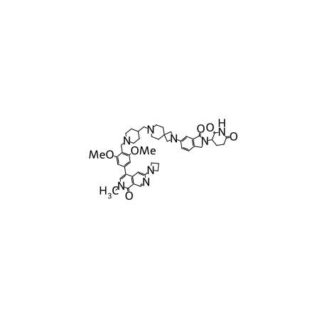 COc1cc(-c2cn(C)c(=O)c3cnc(N4CCC4)cc23)cc(OC)c1CN1CCC(CN2CCC3(CC2)CN(c2ccc4c(c2)C(=O)N(C2CCC(=O)NC2=O)C4)C3)CC1